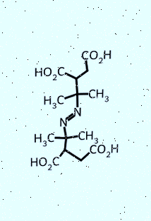 CC(C)(N=NC(C)(C)C(CC(=O)O)C(=O)O)C(CC(=O)O)C(=O)O